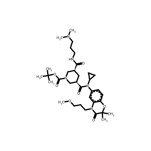 COCCCN1C(=O)C(C)(C)Oc2ccc(N(C(=O)[C@@H]3C[C@H](C(=O)NCCCN(C)C)CN(C(=O)OC(C)(C)C)C3)C3CC3)cc21